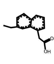 CCc1ccc2cccc(CC(=O)O)c2c1